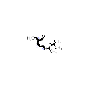 C\C=C(C=O)/C=C\C=N\C(C)OC(C)C